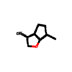 CC1CCC2C(N=O)COC12